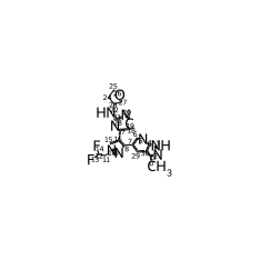 Cc1n[nH]c2ncc(-c3nn(CC(F)F)cc3-c3ccnc(NC4CCOC4)n3)cc12